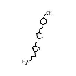 CCCCc1ccc(CC[C@H]2CC[C@H](CC[C@H]3CC[C@H](CC)CC3)CC2)nc1